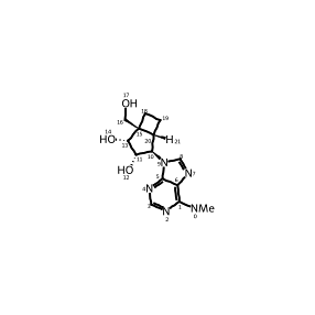 CNc1ncnc2c1ncn2[C@H]1[C@H](O)[C@H](O)[C@]2(CO)CC[C@H]12